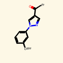 COc1cccc(-n2cc(C(=O)C(C)C)cn2)c1